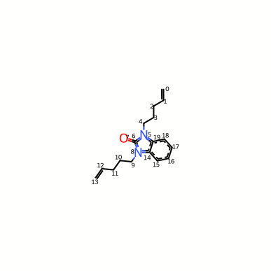 C=CCCCn1c(=O)n(CCCC=C)c2ccccc21